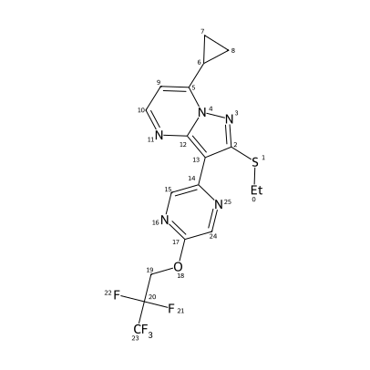 CCSc1nn2c(C3CC3)ccnc2c1-c1cnc(OCC(F)(F)C(F)(F)F)cn1